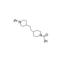 CC(C)C(=O)N1CCC(CCC2CCN(C(C)C)CC2)CC1